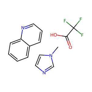 Cn1ccnc1.O=C(O)C(F)(F)F.c1ccc2ncccc2c1